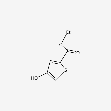 CCOC(=O)c1cc(O)cs1